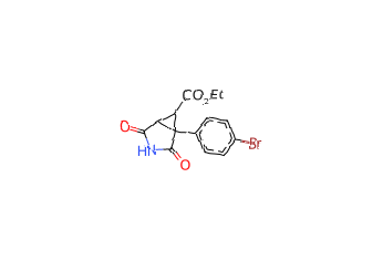 CCOC(=O)C1C2C(=O)NC(=O)C21c1ccc(Br)cc1